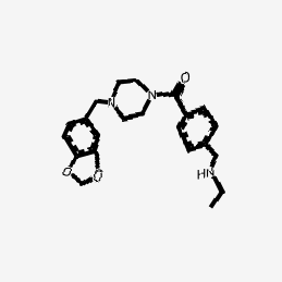 CCNCc1ccc(C(=O)N2CCN(Cc3ccc4c(c3)OCO4)CC2)cc1